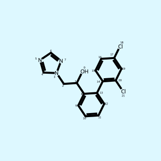 OC(Cn1cncn1)c1ccccc1-c1ccc(Cl)cc1Cl